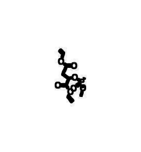 C=COC(=O)CC(OP(C)(=O)OC)C(=O)OC=C